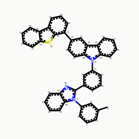 Cc1cccc(-n2c(-c3cccc(-n4c5ccccc5c5cc(-c6cccc7c6sc6ccccc67)ccc54)c3)nc3ccccc32)c1